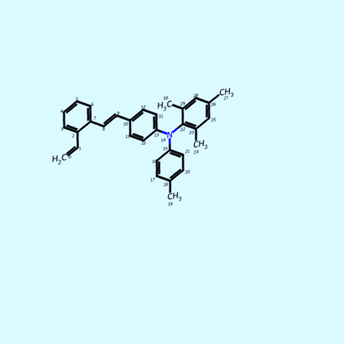 C=Cc1ccccc1C=Cc1ccc(N(c2ccc(C)cc2)c2c(C)cc(C)cc2C)cc1